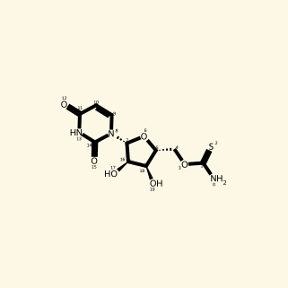 NC(=S)OC[C@H]1O[C@@H](n2ccc(=O)[nH]c2=O)[C@H](O)[C@@H]1O